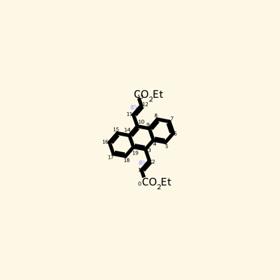 CCOC(=O)/C=C/c1c2ccccc2c(/C=C/C(=O)OCC)c2ccccc12